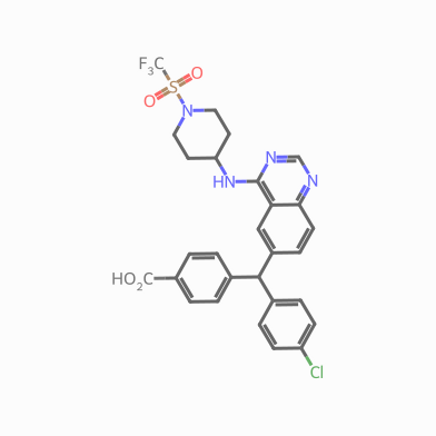 O=C(O)c1ccc(C(c2ccc(Cl)cc2)c2ccc3ncnc(NC4CCN(S(=O)(=O)C(F)(F)F)CC4)c3c2)cc1